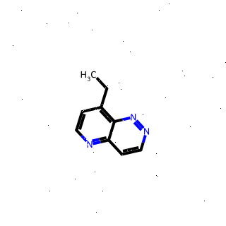 CCc1ccnc2ccnnc12